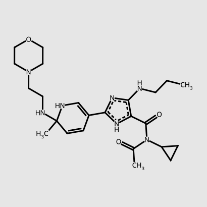 CCCNc1nc(C2=CNC(C)(NCCN3CCOCC3)C=C2)[nH]c1C(=O)N(C(C)=O)C1CC1